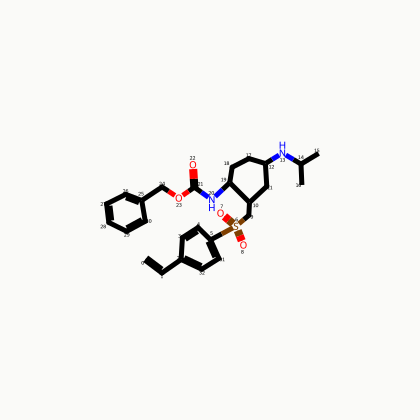 C=Cc1ccc(S(=O)(=O)CC2CC(NC(C)C)CCC2NC(=O)OCc2ccccc2)cc1